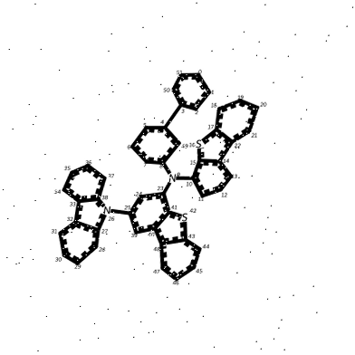 c1ccc(-c2cccc(N(c3cccc4c3sc3ccccc34)c3cc(-n4c5ccccc5c5ccccc54)cc4c3sc3ccccc34)c2)cc1